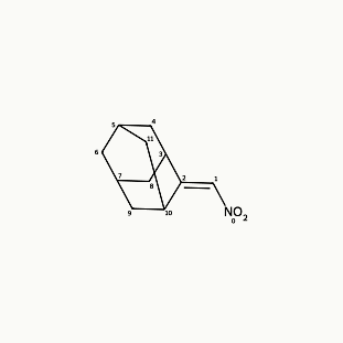 O=[N+]([O-])C=C1C2CC3CC(C2)CC1C3